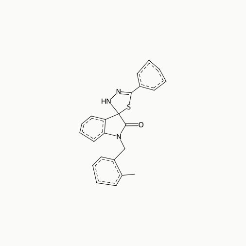 Cc1ccccc1CN1C(=O)C2(NN=C(c3ccccc3)S2)c2ccccc21